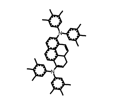 Cc1cc(N(C2=CCC3C=Cc4c(N(c5cc(C)c(C)c(C)c5)c5cc(C)c(C)c(C)c5)ccc5ccc2c3c45)c2cc(C)c(C)c(C)c2)cc(C)c1C